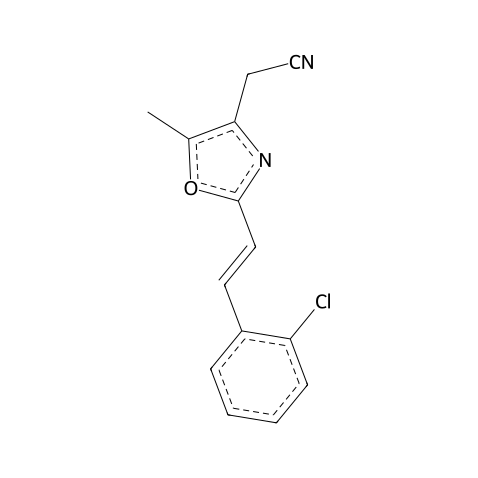 Cc1oc(C=Cc2ccccc2Cl)nc1CC#N